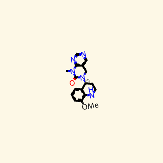 COc1cccc2c1NCC[C@@H]2N1Cc2cncnc2N(C)C1=O